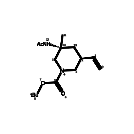 C=C[C@H]1CN(C(=O)OC(C)(C)C)C[C@](C)(NC(C)=O)C1